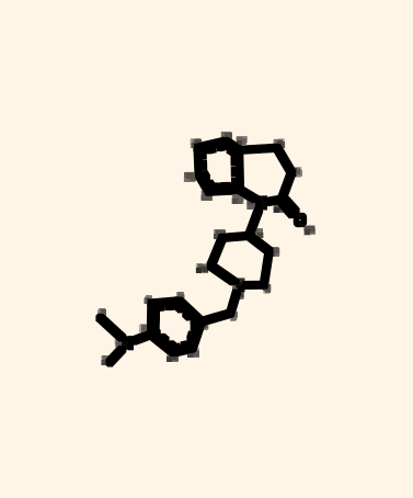 CN(C)c1ccc(CN2CCC(N3C(=O)CCc4ccccc43)CC2)cc1